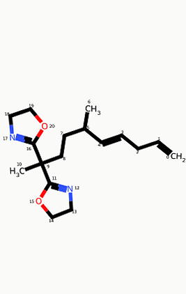 C=CCC=CC(C)CCC(C)(C1=NCCO1)C1=NCCO1